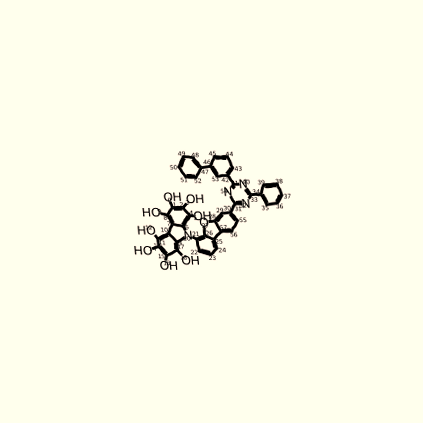 Oc1c(O)c(O)c2c(c1O)c1c(O)c(O)c(O)c(O)c1n2-c1cccc2c1oc1cc(-c3nc(-c4ccccc4)nc(-c4cccc(-c5ccccc5)c4)n3)ccc12